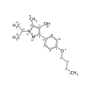 CCCCOc1ccc(-c2nn(C(C)C)c(C)c2O)cc1